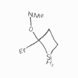 CCC1(ONC)CC[SiH2]1